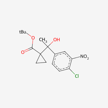 CC(C)(C)OC(=O)C1(C(C)(O)c2ccc(Cl)c([N+](=O)[O-])c2)CC1